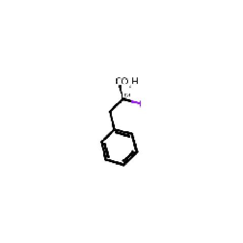 O=C(O)[C@@H](I)Cc1ccccc1